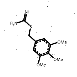 COc1cc(CSC(=N)N)cc(OC)c1OC